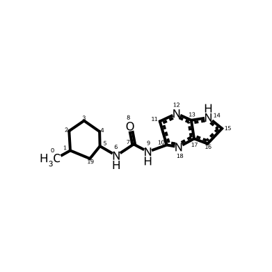 CC1CCCC(NC(=O)Nc2cnc3[nH]ccc3n2)C1